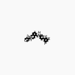 [2H]C([2H])(C1CCOCC1)N1CCc2c(CNc3ccc(-c4cc(F)cc(F)c4F)nn3)cccc2C1